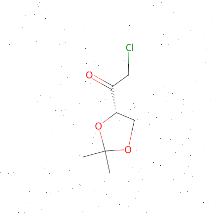 CC1(C)OC[C@@H](C(=O)CCl)O1